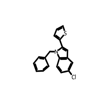 Clc1ccc2c(c1)cc(-c1cccs1)n2Cc1ccccc1